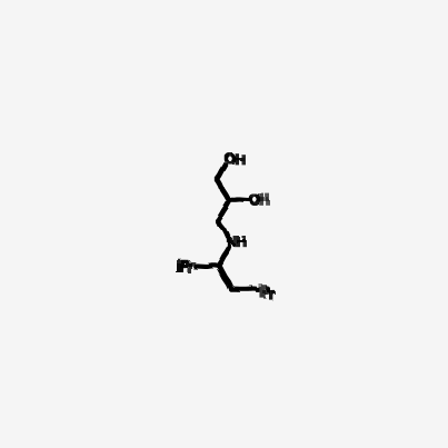 CC(C)CC(NCC(O)CO)C(C)C